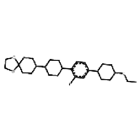 CCOC1CCC(c2ccc(C3CCC(C4CCC5(CC4)OCCO5)CC3)c(F)c2)CC1